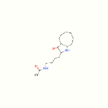 CC(C)C(=O)NCCCCC1NC2CCCCCCC2C1=O